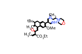 C=C1/C(=C\C(=O)/C(=C\C)C(=O)OCC)c2cc(OC)c(/C(C=N)=C/N(C)CCN3CCOCC3)cc2CC1C(C)(C)C